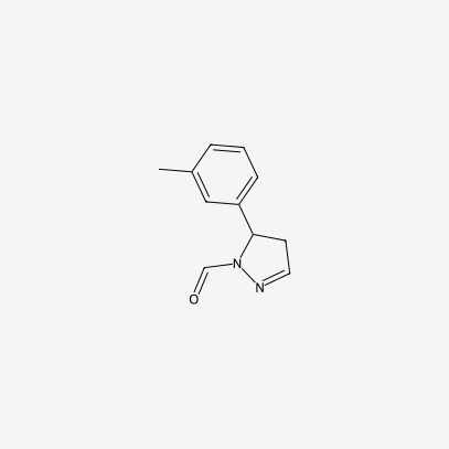 Cc1cccc(C2CC=NN2C=O)c1